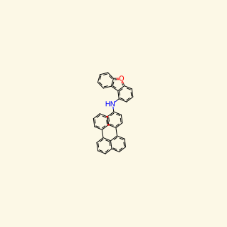 c1ccc(-c2cccc3cccc(-c4ccc(Nc5cccc6oc7ccccc7c56)cc4)c23)cc1